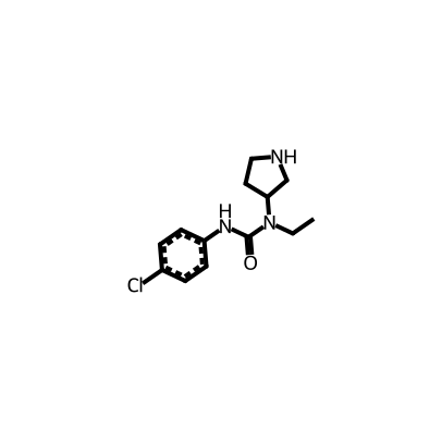 CCN(C(=O)Nc1ccc(Cl)cc1)C1CCNC1